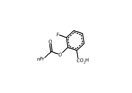 CCCC(=O)Oc1c(F)cccc1C(=O)O